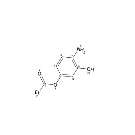 CCC(=O)Oc1ccc(N)c(O)c1